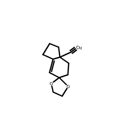 C#CC12CCCC1=CC1(CC2)OCCO1